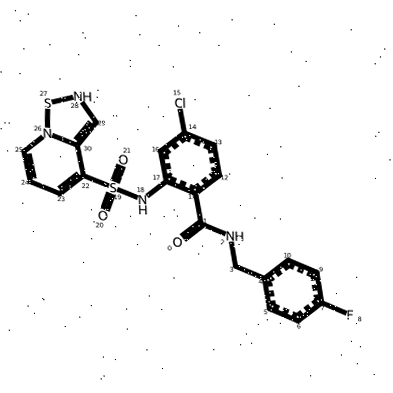 O=C(NCc1ccc(F)cc1)c1ccc(Cl)cc1NS(=O)(=O)C1=CC=CN2SNC=C12